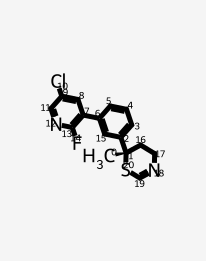 C[C@@]1(c2cccc(-c3cc(Cl)cnc3F)c2)CCN=CS1